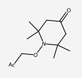 CC(=O)CON1C(C)(C)CC(=O)CC1(C)C